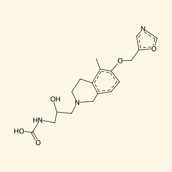 Cc1c(OCc2cnco2)ccc2c1CCN(CC(O)CNC(=O)O)C2